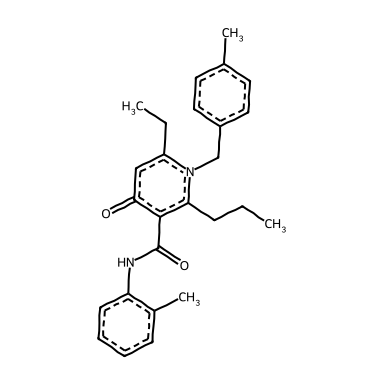 CCCc1c(C(=O)Nc2ccccc2C)c(=O)cc(CC)n1Cc1ccc(C)cc1